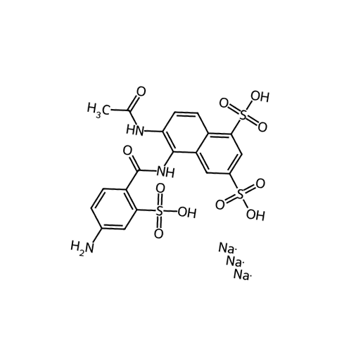 CC(=O)Nc1ccc2c(S(=O)(=O)O)cc(S(=O)(=O)O)cc2c1NC(=O)c1ccc(N)cc1S(=O)(=O)O.[Na].[Na].[Na]